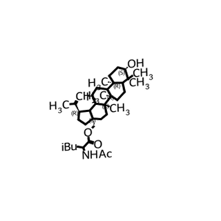 C=C(C)[C@@H]1CC[C@]2(COC(=O)C(NC(C)=O)C(C)CC)CC[C@]3(C)C(CCC4[C@@]5(C)CC[C@H](O)C(C)(C)C5CC[C@]43C)C12